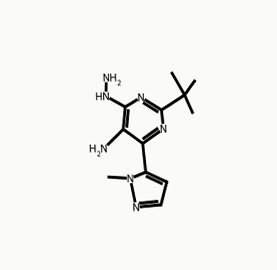 Cn1nccc1-c1nc(C(C)(C)C)nc(NN)c1N